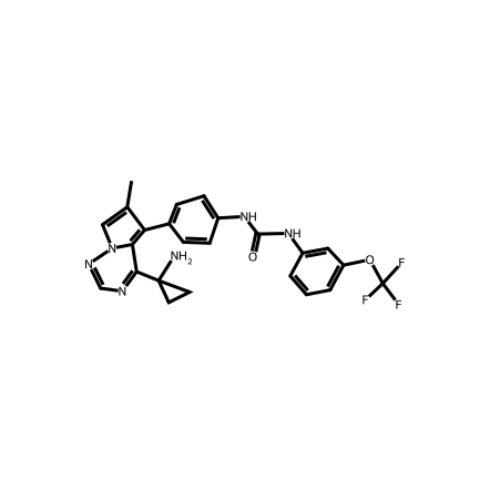 Cc1cn2ncnc(C3(N)CC3)c2c1-c1ccc(NC(=O)Nc2cccc(OC(F)(F)F)c2)cc1